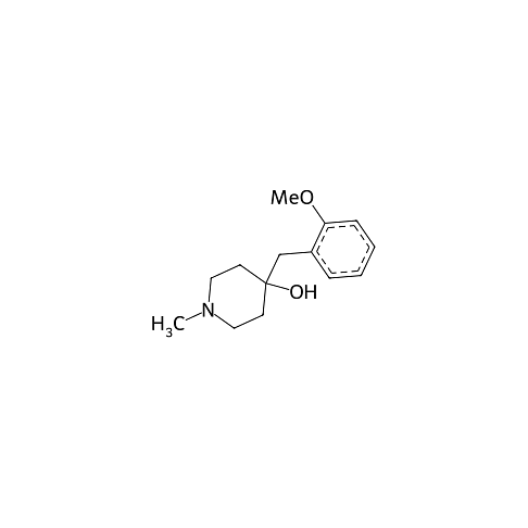 COc1ccccc1CC1(O)CCN(C)CC1